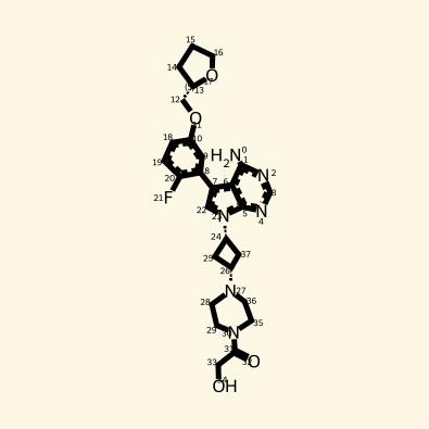 Nc1ncnc2c1c(-c1cc(OC[C@@H]3CCCO3)ccc1F)cn2[C@H]1C[C@@H](N2CCN(C(=O)CO)CC2)C1